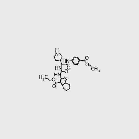 CCOC(=O)c1ccc(NC(=O)C(NC(=O)Nc2sc3c(c2C(=O)OCC)CCCC3)C2CCNCC2)cc1